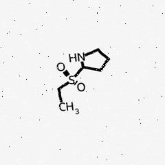 CCS(=O)(=O)C1CCCN1